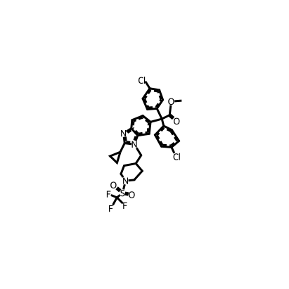 COC(=O)C(c1ccc(Cl)cc1)(c1ccc(Cl)cc1)c1ccc2nc(C3CC3)n(CC3CCN(S(=O)(=O)C(F)(F)F)CC3)c2c1